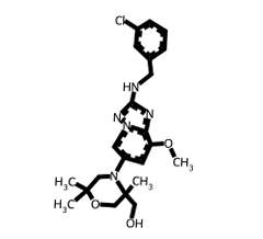 COc1cc(N2CC(C)(C)OCC2(C)CO)cn2nc(NCc3cccc(Cl)c3)nc12